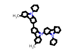 Cc1ccc2c(c1)c1cc(-c3ccc4c5cc(C)ccc5n(-c5ccc6c7ccccc7n(-c7ccccc7)c6c5)c4c3)ccc1n2-c1ccccc1